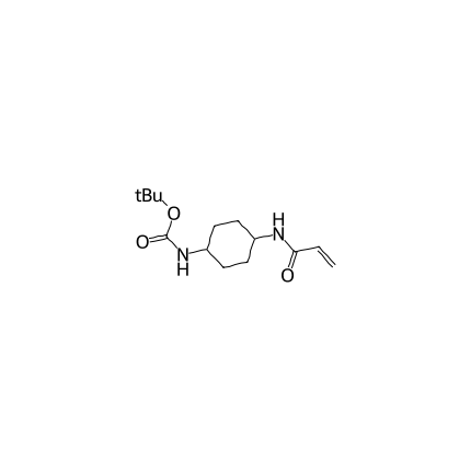 C=CC(=O)NC1CCC(NC(=O)OC(C)(C)C)CC1